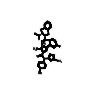 Cc1c(C(=O)N(c2ccc(O)cc2)c2cnn(C)c2)cc(-c2cc(F)ccc2C(=O)N2Cc3ccccc3C[C@H]2C(F)F)n1C